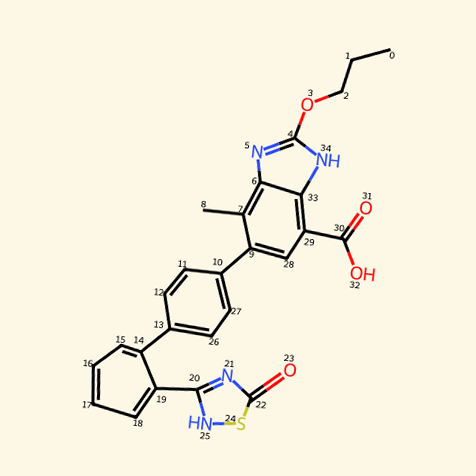 CCCOc1nc2c(C)c(-c3ccc(-c4ccccc4-c4nc(=O)s[nH]4)cc3)cc(C(=O)O)c2[nH]1